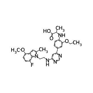 CCOc1cc(-c2cc(NCCn3c(C)cc4c(OC)ccc(F)c43)ncn2)ccc1NC(C)C(=O)O